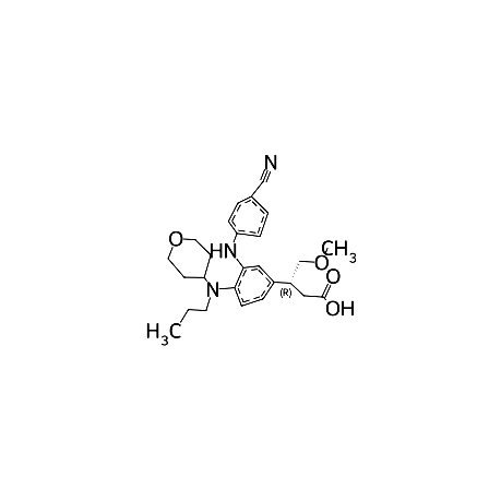 CCCN(c1ccc([C@H](COC)CC(=O)O)cc1Nc1ccc(C#N)cc1)C1CCOCC1